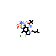 Cc1c2c(c(NC(=O)C(C)(C)C)c(C)c1NS(N)(=O)=O)N(CCC(C)C)CC2.Cl